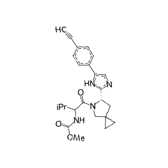 C#Cc1ccc(-c2cnc([C@@H]3CC4(CC4)CN3C(=O)C(NC(=O)OC)C(C)C)[nH]2)cc1